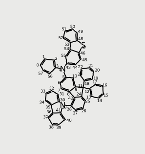 c1ccc(N(c2ccc3c(c2)C(c2ccccc2)(c2ccccc2)c2cccc(-n4c5ccccc5c5ccccc54)c2-3)c2ccc3sc4ccccc4c3c2)cc1